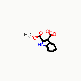 COC(=O)c1[nH]c2ccccc2c1C(=O)O